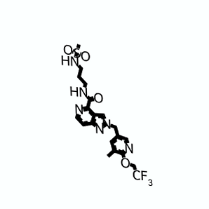 Cc1cc(Cn2cc3c(C(=O)NCCCNS(C)(=O)=O)nccc3n2)cnc1OCC(F)(F)F